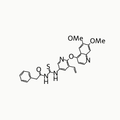 C=Cc1cc(NC(=S)NC(=O)Cc2ccccc2)cnc1Oc1ccnc2cc(OC)c(OC)cc12